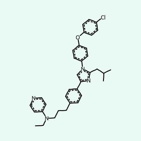 CCN(CCCc1ccc(-c2cn(-c3ccc(Oc4ccc(Cl)cc4)cc3)c(CC(C)C)n2)cc1)c1ccncc1